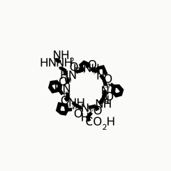 C[C@@H]1NC(=O)[C@H](CCC(=O)O)NC(=O)[C@H](Cc2ccccc2)NC(=O)[C@H](Cc2ccccc2)NC(=O)[C@H](CCCNC(=N)N)NC(=O)[C@@H]2CCCN2C(=O)[C@H]2CCCN2C(=O)[C@H](Cc2ccccc2)NC1=O